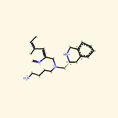 C=N/C(=C\C(C)=C/C)CN(CCCCN)C[C@H]1Cc2ccccc2CN1